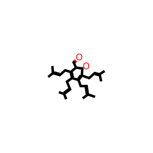 CC(C)=CCC1=C(CC=C(C)C)C(CC=C(C)C)=C(CC=C(C)C)C(C=O)C1=O